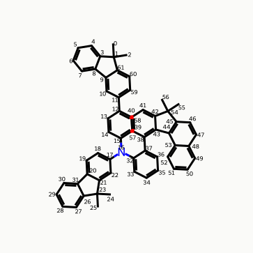 CC1(C)c2ccccc2-c2cc(-c3ccc(N(c4ccc5c(c4)C(C)(C)c4ccccc4-5)c4ccccc4-c4cccc5c4-c4c(ccc6ccccc46)C5(C)C)cc3)ccc21